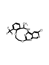 CC1Nc2nc(nc3cnc(Cl)cc23)OCCOc2c1cccc2C(F)(F)F